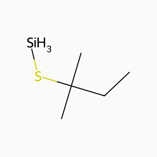 CCC(C)(C)S[SiH3]